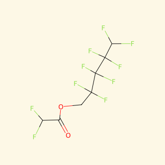 O=C(OCC(F)(F)C(F)(F)C(F)(F)C(F)F)C(F)F